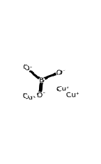 [Cu+].[Cu+].[Cu+].[O-]B([O-])[O-]